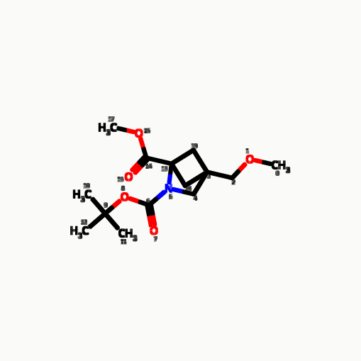 COCC12CN(C(=O)OC(C)(C)C)C(C(=O)OC)(C1)C2